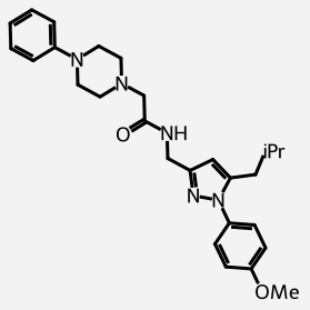 COc1ccc(-n2nc(CNC(=O)CN3CCN(c4ccccc4)CC3)cc2CC(C)C)cc1